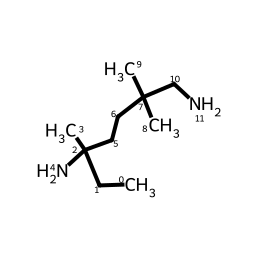 CCC(C)(N)CCC(C)(C)CN